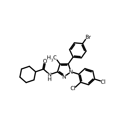 Cc1c(NC(=O)C2CCCCC2)nn(-c2ccc(Cl)cc2Cl)c1-c1ccc(Br)cc1